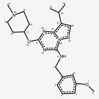 COc1cccc(CNc2nc(OC3CCN(C)CC3)nc3c(C(C)C)cnn23)c1